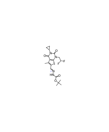 Cc1c(/C=N/NC(=O)OC(C)(C)C)sc2c1c(=O)n(C1CC1)c(=O)n2CC(F)F